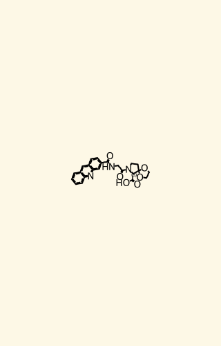 O=C(NCC(=O)N1CCC2(OCCO2)[C@H]1C(=O)O)c1ccc2cc3ccccc3nc2c1